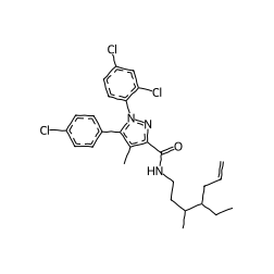 C=CCC(CC)C(C)CCNC(=O)c1nn(-c2ccc(Cl)cc2Cl)c(-c2ccc(Cl)cc2)c1C